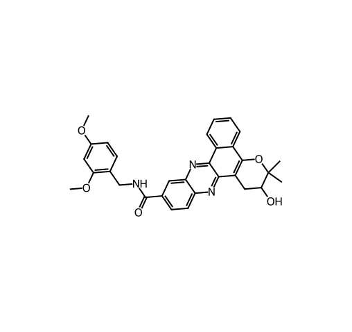 COc1ccc(CNC(=O)c2ccc3nc4c5c(c6ccccc6c4nc3c2)OC(C)(C)C(O)C5)c(OC)c1